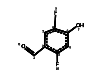 O=Cc1cc(F)c(O)cc1F